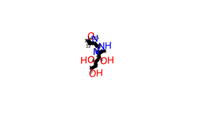 OCCC(O)C(O)c1c[nH]c(-c2ccon2)n1